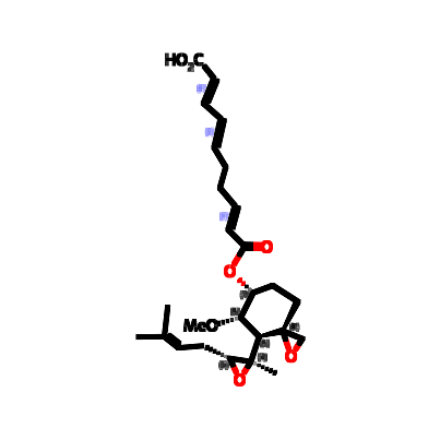 CO[C@@H]1[C@H](OC(=O)/C=C/CC/C=C/C=C/C(=O)O)CC[C@]2(CO2)[C@H]1[C@@]1(C)O[C@@H]1CC=C(C)C